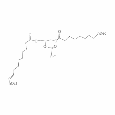 CCCCCCCCC=CCCCCCCCC(=O)OCC(COC(=O)CCCCCCCCCCCCCCCCC)OC(=O)CCC